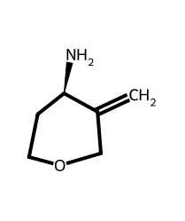 C=C1COCC[C@H]1N